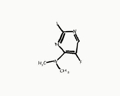 CN(C)c1nc(I)ncc1F